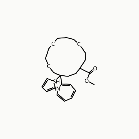 COC(=O)C1CCCCCCCCCCCC(C2=CC=CC=CN2)([SH]2C=CC=C2)CC1